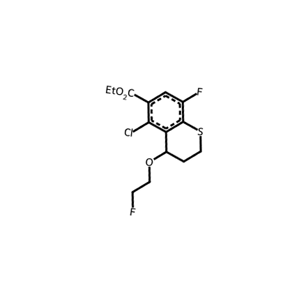 CCOC(=O)c1cc(F)c2c(c1Cl)C(OCCF)CCS2